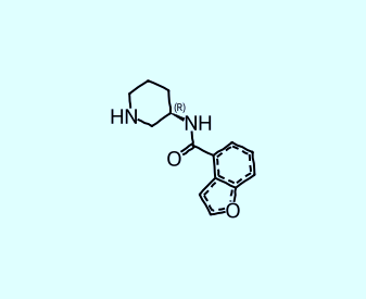 O=C(N[C@@H]1CCCNC1)c1cccc2occc12